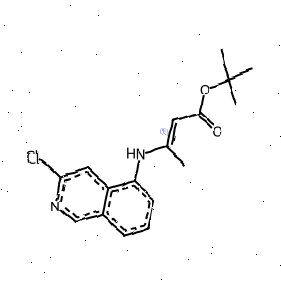 C/C(=C\C(=O)OC(C)(C)C)Nc1cccc2cnc(Cl)cc12